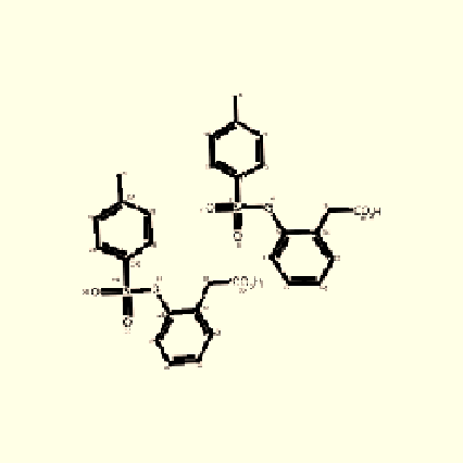 Cc1ccc(S(=O)(=O)Oc2ccccc2CC(=O)O)cc1.Cc1ccc(S(=O)(=O)Oc2ccccc2CC(=O)O)cc1